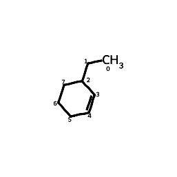 CCC1C=C[CH]CC1